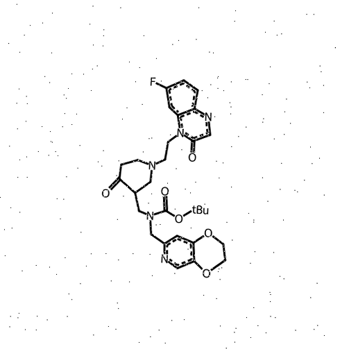 CC(C)(C)OC(=O)N(Cc1cc2c(cn1)OCCO2)CC1CN(CCn2c(=O)cnc3ccc(F)cc32)CCC1=O